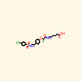 O=C(O)CCCCCNC(=O)C(F)Oc1ccc(CCNS(=O)(=O)c2ccc(Cl)cc2)cc1